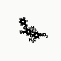 Cc1cc([N+](=O)[O-])cc(C)c1Oc1ccc(OCc2ccccc2)c(C(C)C)c1